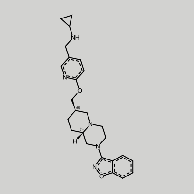 c1ccc2c(N3CCN4C[C@H](COc5ccc(CNC6CC6)cn5)CC[C@H]4C3)noc2c1